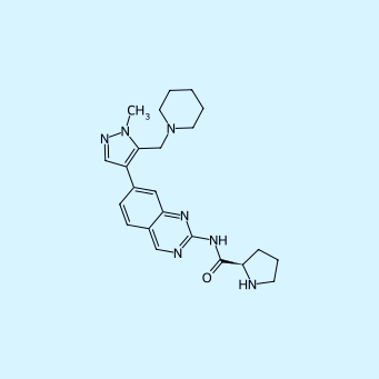 Cn1ncc(-c2ccc3cnc(NC(=O)[C@H]4CCCN4)nc3c2)c1CN1CCCCC1